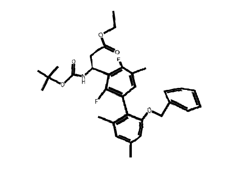 CCOC(=O)C[C@H](NC(=O)OC(C)(C)C)c1c(F)c(C)cc(-c2c(C)cc(C)cc2OCc2ccccc2)c1F